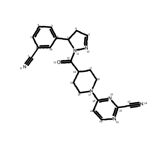 N#Cc1cccc(C2CC=NN2C(=O)C2CCN(c3ccnc(C#N)n3)CC2)c1